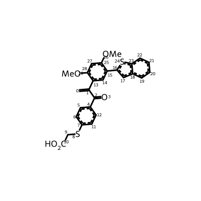 C=C(C(=O)c1ccc(SCC(=O)O)cc1)c1cc(-c2cc3ccccc3s2)c(OC)cc1OC